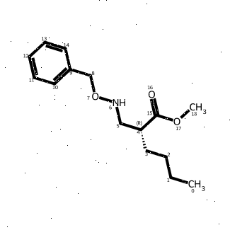 CCCC[C@H](CNOCc1ccccc1)C(=O)OC